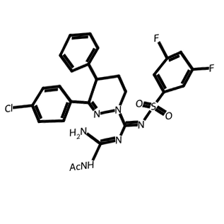 CC(=O)N/C(N)=N/C(=N/S(=O)(=O)c1cc(F)cc(F)c1)N1CCC(c2ccccc2)C(c2ccc(Cl)cc2)=N1